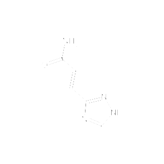 NC(=O)C=Cc1nc[nH]n1